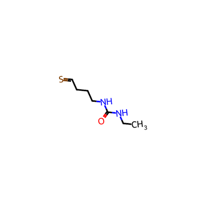 CCNC(=O)NCCCC=S